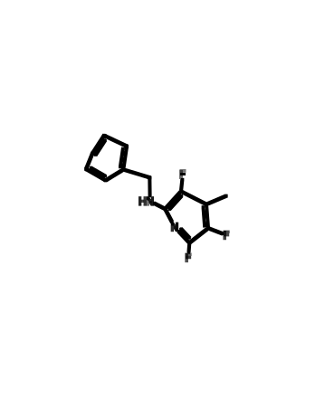 Cc1c(F)c(F)nc(NCc2ccccc2)c1F